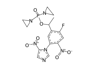 CC(OP(=O)(N1CC1)N1CC1)c1cc(-n2cncc2[N+](=O)[O-])c([N+](=O)[O-])cc1F